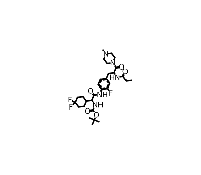 CCC(=O)NC(Cc1ccc(NC(=O)C(NC(=O)OC(C)(C)C)C2CCC(F)(F)CC2)c(F)c1)C(=O)N1CCN(C)CC1